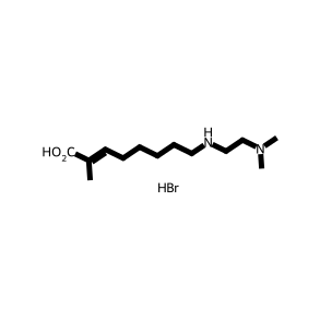 Br.CC(=CCCCCCNCCN(C)C)C(=O)O